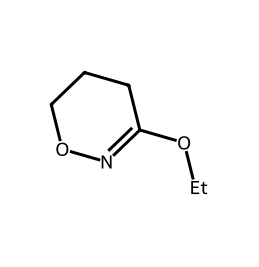 CCOC1=NOCCC1